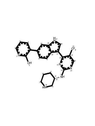 Oc1ncccc1-c1ccc2c(-c3nc(N[C@H]4CCCNC4)ncc3C(F)(F)F)c[nH]c2c1